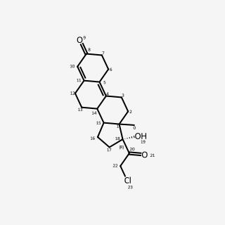 CC12CCC3=C4CCC(=O)C=C4CCC3C1CC[C@]2(O)C(=O)CCl